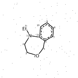 CCN1CCOCc2ccccc21